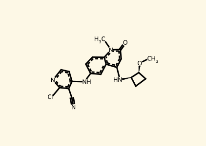 CO[C@H]1CC[C@H]1Nc1cc(=O)n(C)c2ccc(Nc3ccnc(Cl)c3C#N)cc12